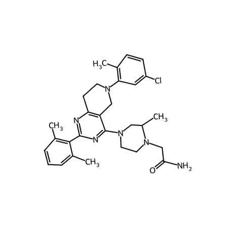 Cc1ccc(Cl)cc1N1CCc2nc(-c3c(C)cccc3C)nc(N3CCN(CC(N)=O)C(C)C3)c2C1